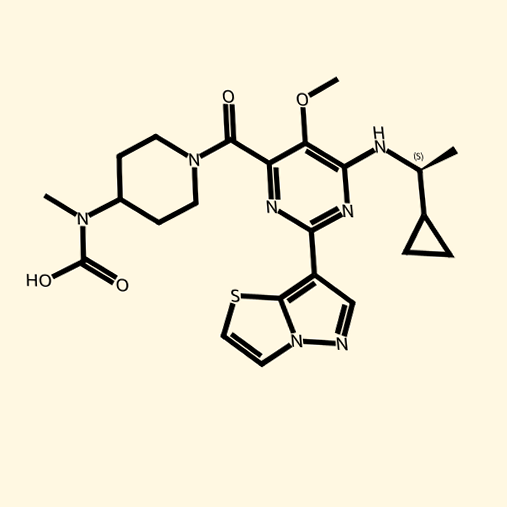 COc1c(N[C@@H](C)C2CC2)nc(-c2cnn3ccsc23)nc1C(=O)N1CCC(N(C)C(=O)O)CC1